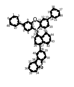 c1ccc(-c2ccc3c(c2)Oc2cc(-c4ccccc4)ccc2N3c2ccc(-c3ccc4sc5ccccc5c4c3)c3ccccc23)cc1